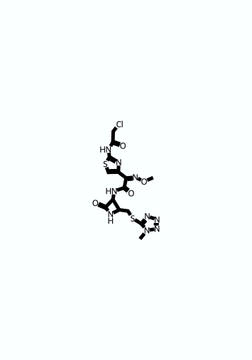 CO/N=C(\C(=O)NC1C(=O)NC1CSc1nnnn1C)c1csc(NC(=O)CCl)n1